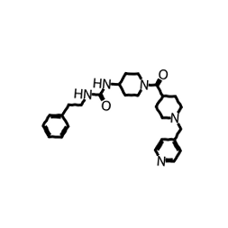 O=C(NCCc1ccccc1)NC1CCN(C(=O)C2CCN(Cc3ccncc3)CC2)CC1